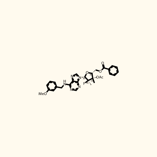 COc1cccc(CNc2ncnc3c2ncn3[C@@H]2O[C@H](COC(=O)c3ccccc3)[C@](C)(OC(C)=O)[C@@]2(C)F)c1